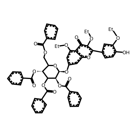 CCOc1cc(-c2oc3cc(O[C@@H]4OC(COC(=O)c5ccccc5)[C@@H](OC(=O)c5ccccc5)C(OC(=O)c5ccccc5)[C@@H]4OC(=O)c4ccccc4)cc(OCC)c3c(=O)c2OCC)ccc1O